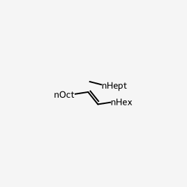 CCCCCCC=CCCCCCCCC.CCCCCCCC